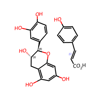 O=C(O)/C=C/c1ccc(O)cc1.Oc1cc(O)c2c(c1)O[C@H](c1ccc(O)c(O)c1)[C@@H](O)C2